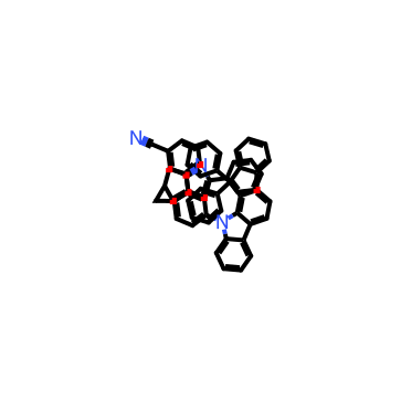 N#Cc1cccc(C2=C3/CC3C/C(c3cccc(-n4c5ccccc5c5ccc6c(c54)C(c4ccccc4)(c4ccccc4)c4ccccc4-6)c3)=N/C(c3ccccc3)=C\2)c1